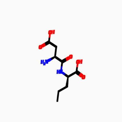 CCC[C@@H](NC(=O)[C@@H](N)CC(=O)O)C(=O)O